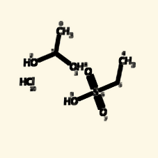 CC(O)O.CCS(=O)(=O)O.Cl